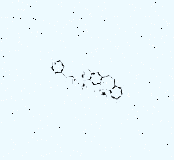 Cc1cc2c(cc1S(=O)(=O)NCCc1ccncc1)S(=O)(=O)c1ccccc1CC2